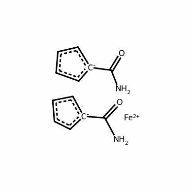 NC(=O)[c-]1cccc1.NC(=O)[c-]1cccc1.[Fe+2]